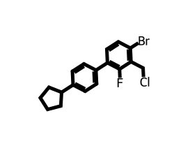 Fc1c(-c2ccc(C3CCCC3)cc2)ccc(Br)c1CCl